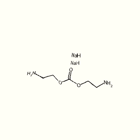 NCCOC(=O)OCCN.[NaH].[NaH]